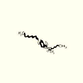 CCCCCCCCCCOc1ccc(C(=O)NNC(=O)[C@@H](C)CCCCCC)cc1